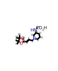 CC1(C)OB(C=CCN2CCCC(NC(=O)O)C2)OC1(C)C